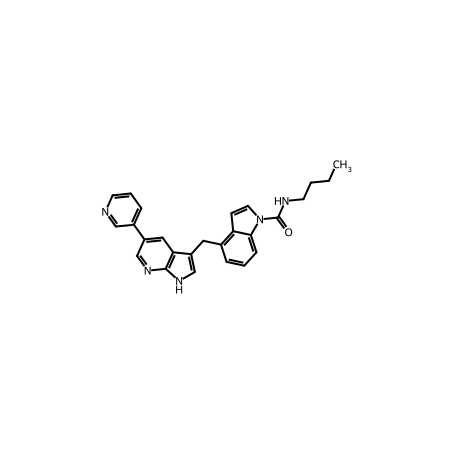 CCCCNC(=O)n1ccc2c(Cc3c[nH]c4ncc(-c5cccnc5)cc34)cccc21